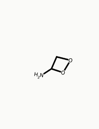 NC1COO1